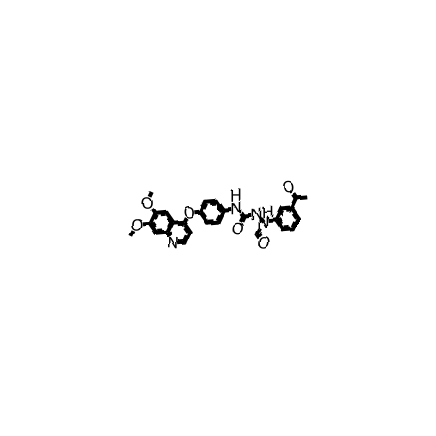 COc1cc2nccc(Oc3ccc(NC(=O)NN(C=O)c4cccc(C(C)=O)c4)cc3)c2cc1OC